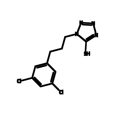 Sc1nnnn1CCCc1cc(Cl)cc(Cl)c1